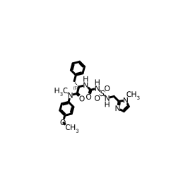 COc1ccc(N(C)C(=O)[C@H](Cc2ccccc2)NC(=O)NS(=O)(=O)NCc2nccn2C)cc1